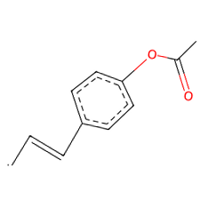 [CH2]C=Cc1ccc(OC(C)=O)cc1